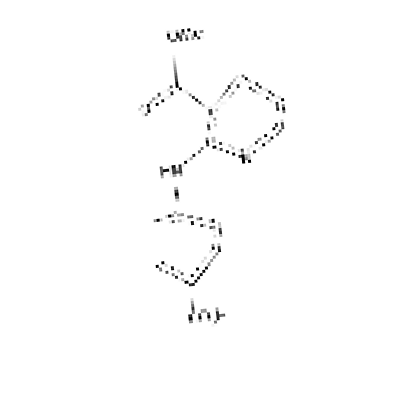 COC(=O)c1cccnc1Nc1ccc(C(=O)O)cc1